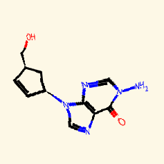 Nn1cnc2c(ncn2[C@H]2C=C[C@@H](CO)C2)c1=O